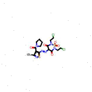 CC(C)(C)c1nsc(N=NC2C(=O)N(CCCl)S(=O)(=O)N(CCCl)C2=O)c1C(=O)N1CCCC1